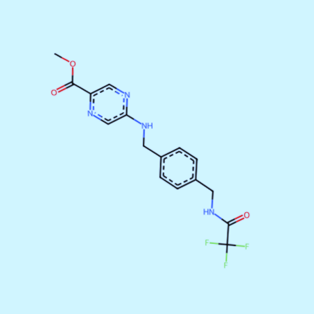 COC(=O)c1cnc(NCc2ccc(CNC(=O)C(F)(F)F)cc2)cn1